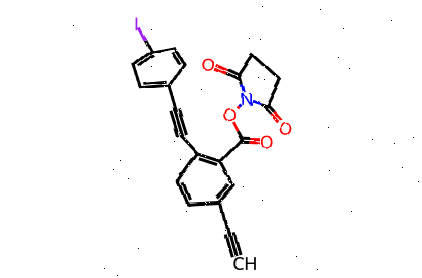 C#Cc1ccc(C#Cc2ccc(I)cc2)c(C(=O)ON2C(=O)CCC2=O)c1